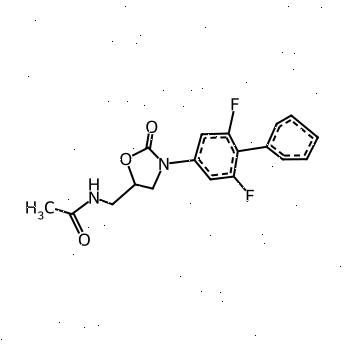 CC(=O)NCC1CN(c2cc(F)c(-c3ccccc3)c(F)c2)C(=O)O1